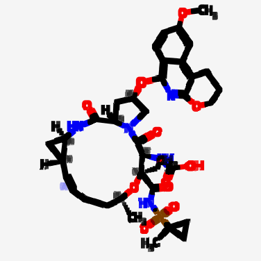 CC[C@]1(C(=O)NS(=O)(=O)C2(C)CC2)O[C@H](C)CC/C=C\[C@@H]2C[C@H]2NC(=O)[C@@H]2C[C@@H](Oc3nc4c(c5cc(OC)ccc35)CCCO4)CN2C(=O)[C@H]1NC(=O)O